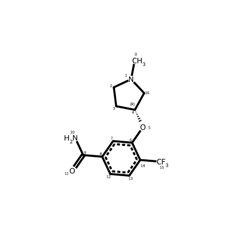 CN1CC[C@@H](Oc2cc(C(N)=O)ccc2C(F)(F)F)C1